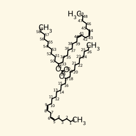 CCCCC/C=C\C/C=C\CCCCCCCC(CCCCCCCCCC)OC(=O)OC(CCCCCCC/C=C\C/C=C\CCCCC)CCCCCCCCCC